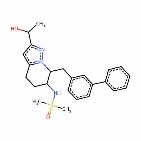 CC(O)c1cc2n(n1)C(Cc1cccc(-c3ccccc3)c1)C(N[SH](C)(C)=O)CC2